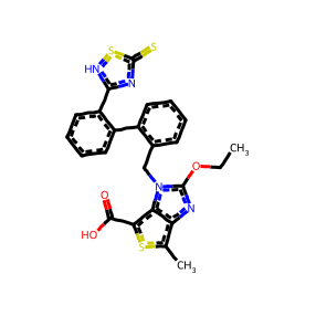 CCOc1nc2c(C)sc(C(=O)O)c2n1Cc1ccccc1-c1ccccc1-c1nc(=S)s[nH]1